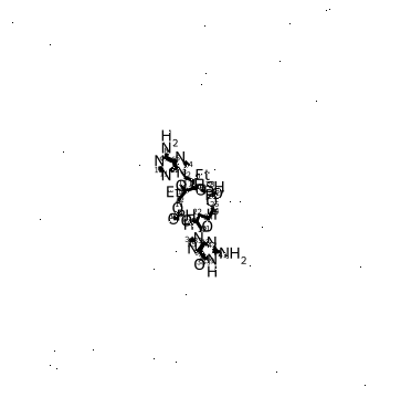 CC[C@H]1[C@H](n2cnc3c(N)ncnc32)O[C@]2(CC)CO[PH](=O)O[C@@H]3C[C@@H](CO[P@@](=O)(S)O[C@@H]12)O[C@H]3n1cnc2c(=O)[nH]c(N)nc21